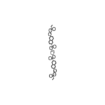 C=CC(=O)OCOc1ccc2cc(C(=O)OC3CC4CC3CC4OC(=O)c3ccc4cc(OCOC(=O)C=C)ccc4c3)ccc2c1